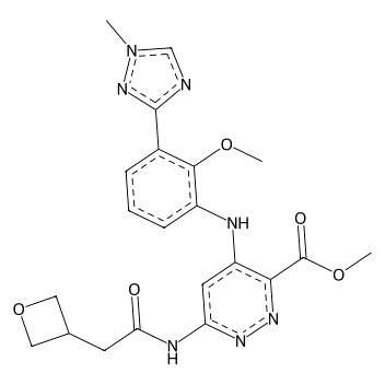 COC(=O)c1nnc(NC(=O)CC2COC2)cc1Nc1cccc(-c2ncn(C)n2)c1OC